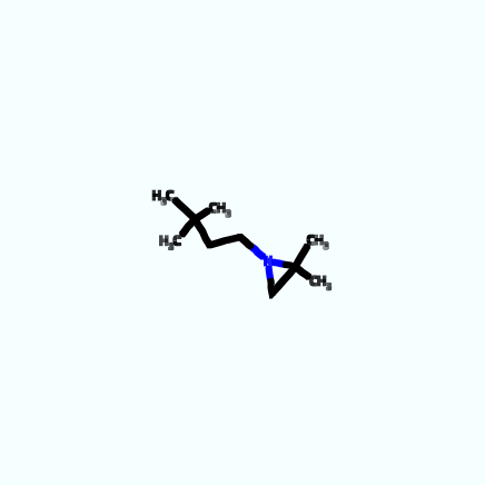 CC(C)(C)CCN1CC1(C)C